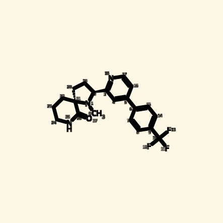 CN1[C@H](c2cc(-c3ccc(C(F)(F)F)cc3)ccn2)CC[C@]12CCCNC2=O